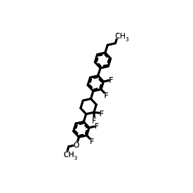 CCCc1ccc(-c2ccc(C3CCC(c4ccc(OCC)c(F)c4F)C(F)(F)C3)c(F)c2F)cc1